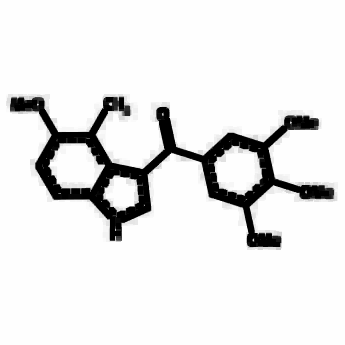 COc1cc(C(=O)c2c[nH]c3ccc(OC)c(C)c23)cc(OC)c1OC